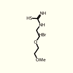 Br.COCCOCCNC(=N)S